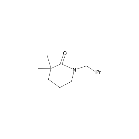 CC(C)CN1CCCC(C)(C)C1=O